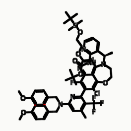 COc1ccc(CN(Cc2ccc(OC)cc2)c2cc(C)c(C(F)(F)F)c(-c3c(Cl)c4c5c(nc(OCCO[Si](C)(C)C(C)(C)C)nc5c3F)N([C@H](C)c3cccnc3NC(=O)OC(C)(C)C)CCO4)n2)cc1